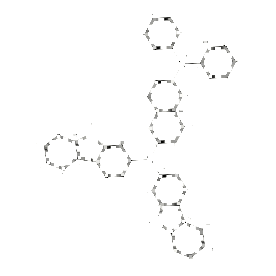 c1ccc(N(c2ccccc2)c2ccc3cc(N(c4ccc5c(c4)oc4ccccc45)c4ccc5c(c4)oc4ccccc45)ccc3c2)cc1